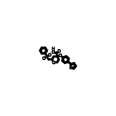 O=C(O)C1(Oc2ccc(-c3cccs3)cc2)CCOC(CS(=O)(=O)c2ccccc2)C1